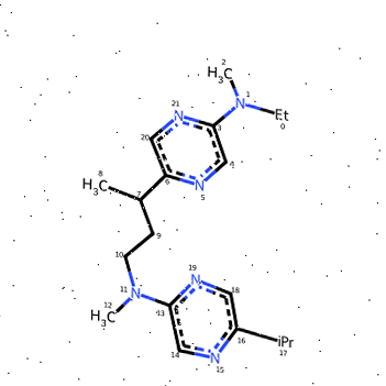 CCN(C)c1cnc(C(C)CCN(C)c2cnc(C(C)C)cn2)cn1